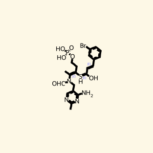 C/C(=C(CCOP(=O)(O)O)/[SH]=C(O)\C=C\c1cccc(Br)c1)N(C=O)Cc1cnc(C)nc1N